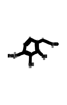 CCOC(=O)c1ccc(C[C]=O)c(O)c1O